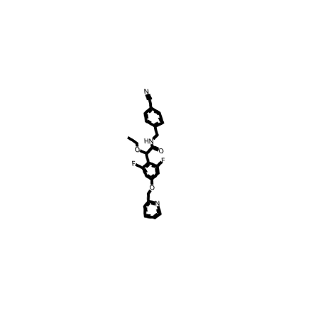 CCOC(C(=O)NCc1ccc(C#N)cc1)c1c(F)cc(OCc2ccccn2)cc1F